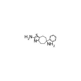 Nc1nc2c(s1)CCC(N)(c1ccccc1)CC2